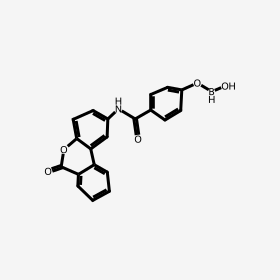 O=C(Nc1ccc2oc(=O)c3ccccc3c2c1)c1ccc(OBO)cc1